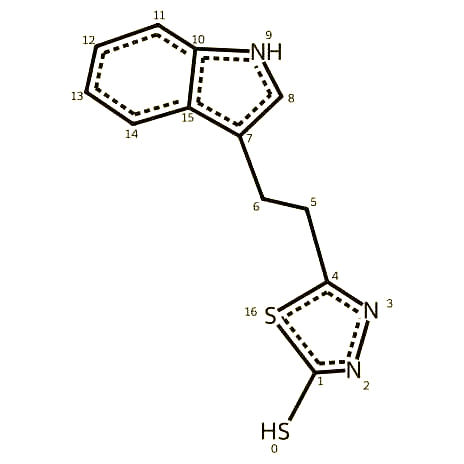 Sc1nnc(CCc2c[nH]c3ccccc23)s1